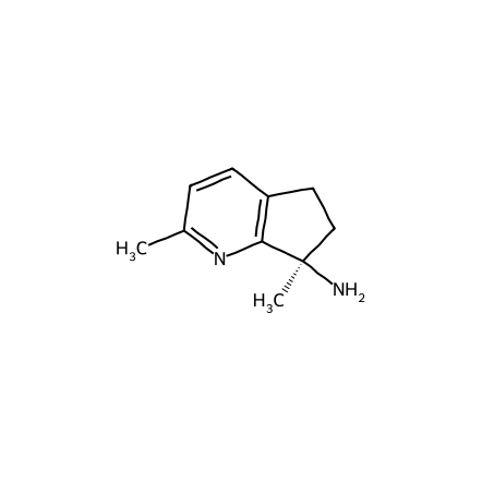 Cc1ccc2c(n1)[C@](C)(N)CC2